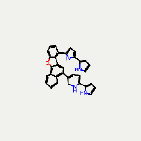 C1=C(c2ccc[nH]2)NCC(c2cc3c(oc4cccc(-c5ccc(-c6ccc[nH]6)[nH]5)c43)c3ccccc23)=C1